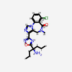 CCCC(N)(CCC)c1nc(-c2ncn3c2CN(C)C(=O)c2c(Cl)cccc2-3)no1